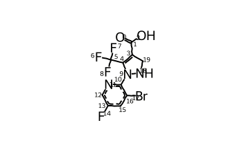 O=C(O)C1=C(C(F)(F)F)N(c2ncc(F)cc2Br)NC1